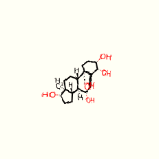 C[C@]12CC[C@H]3[C@@H]([C@@H](O)C=C4[C@@H](O)[C@@H](O)CC[C@@]43CO)[C@@H]1CC[C@@H]2O